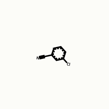 N#Cc1[c]ccc(Cl)c1